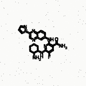 NC(=O)c1cc(F)c(NC2CCCCC2N)nc1Nc1ccc2nc(-n3cccn3)cnc2c1